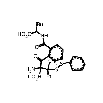 CCC(C)C(NC(=O)c1ccccc1C(=O)C(N)(C(=O)O)C(C)(CC)SSc1ccccc1)C(=O)O